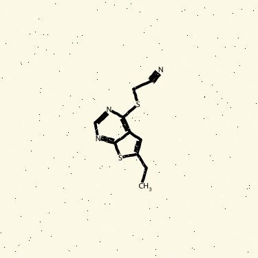 CCc1cc2c(SCC#N)ncnc2s1